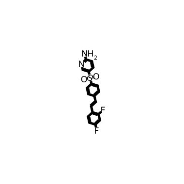 Nc1ccc(S(=O)(=O)c2ccc(/C=C/c3ccc(F)cc3F)cc2)cn1